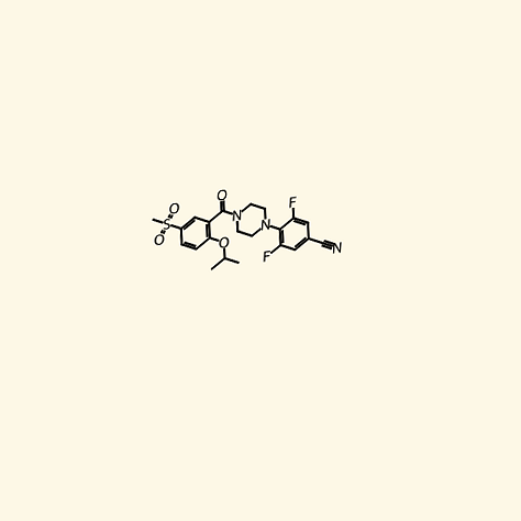 CC(C)Oc1ccc(S(C)(=O)=O)cc1C(=O)N1CCN(c2c(F)cc(C#N)cc2F)CC1